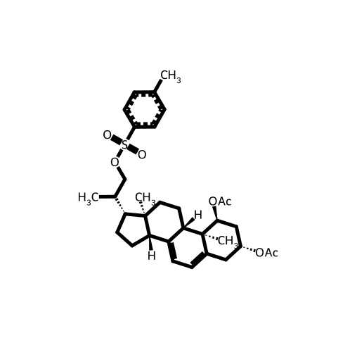 CC(=O)O[C@@H]1CC2=CC=C3[C@@H]4CC[C@H](C(C)COS(=O)(=O)c5ccc(C)cc5)[C@@]4(C)CC[C@@H]3[C@@]2(C)[C@@H](OC(C)=O)C1